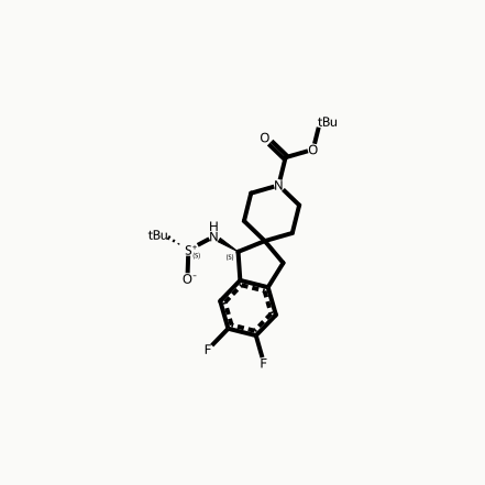 CC(C)(C)OC(=O)N1CCC2(CC1)Cc1cc(F)c(F)cc1[C@H]2N[S@+]([O-])C(C)(C)C